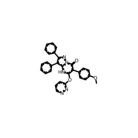 COc1ccc(-c2c(Oc3cccnn3)[nH]c3c(-c4ccccc4)c(-c4ccccc4)nn3c2=O)cc1